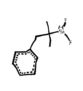 CC(C)(Cc1ccccc1)[SiH](F)F